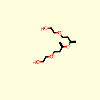 C=C(CCOCCO)OC(=C)CCOCCO